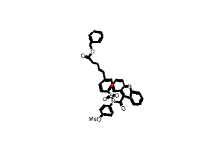 COc1ccc(N(C(=O)c2c3ccccc3nc3ccccc23)S(=O)(=O)c2ccc(CCCCC(=O)OCc3ccccc3)cc2)cc1